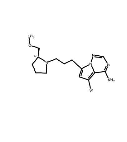 COC[C@@H]1CCCN1CCCc1cc(Br)c2c(N)ncnn12